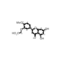 COc1ccc(-c2cc(=O)c3c(O)cc(O)cc3o2)cc1OCC(=O)O